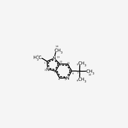 Cc1nc2cnc(C(C)(C)C)cc2n1C